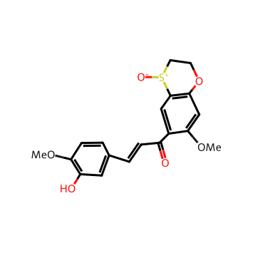 COc1ccc(C=CC(=O)c2cc3c(cc2OC)OCC[S+]3[O-])cc1O